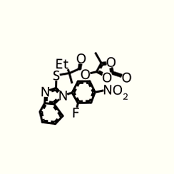 CCC(C)(Sc1nc2ccccc2n1-c1ccc([N+](=O)[O-])cc1F)C(=O)Oc1oc(=O)oc1C